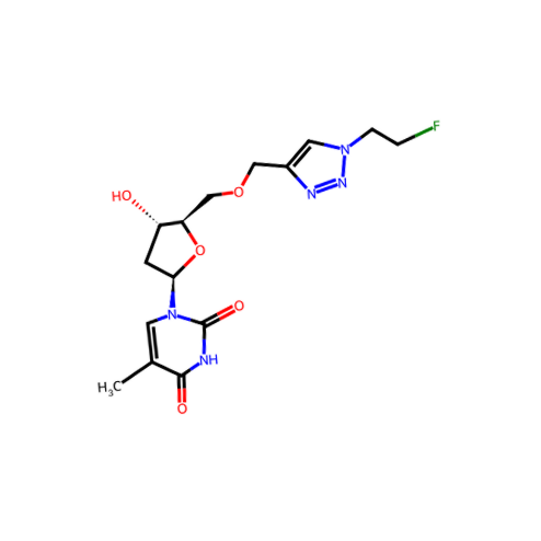 Cc1cn([C@H]2C[C@H](O)[C@@H](COCc3cn(CCF)nn3)O2)c(=O)[nH]c1=O